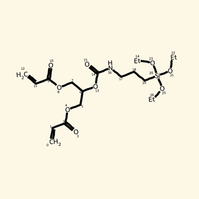 C=CC(=O)OCC(COC(=O)C=C)OC(=O)NCCC[Si](OCC)(OCC)OCC